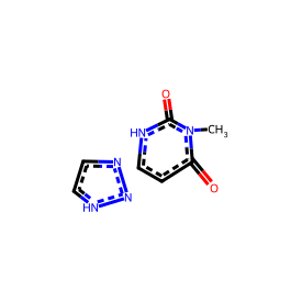 Cn1c(=O)cc[nH]c1=O.c1c[nH]nn1